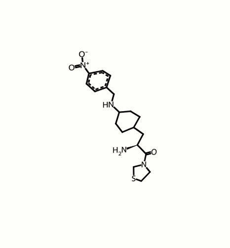 N[C@@H](CC1CCC(NCc2ccc([N+](=O)[O-])cc2)CC1)C(=O)N1CCSC1